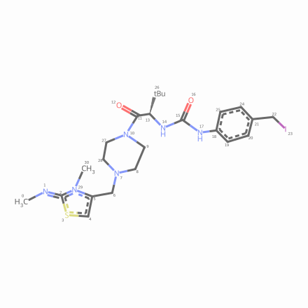 C/N=c1\scc(CN2CCN(C(=O)[C@H](NC(=O)Nc3ccc(CI)cc3)C(C)(C)C)CC2)n1C